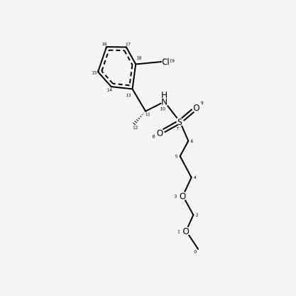 COCOCCCS(=O)(=O)N[C@H](C)c1ccccc1Cl